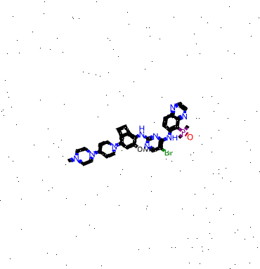 COc1cc(N2CCC(N3CCN(C)CC3)CC2)c2c(c1Nc1ncc(Br)c(Nc3ccc4nccnc4c3P(C)(C)=O)n1)CC2